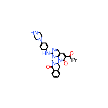 CC(C)C(=O)c1cc2cnc(Nc3ccc(N4CCNCC4)cc3)nc2n(C2Cc3ccccc3C(=O)N2C)c1=O